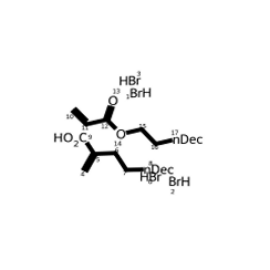 Br.Br.Br.Br.C=C(CCCCCCCCCCCC)C(=O)O.C=CC(=O)OCCCCCCCCCCCC